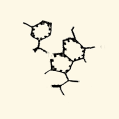 Cc1c(C(C)C(=O)O)c2c(F)c(O)c(F)cc2n1C(=O)c1cccc(F)c1